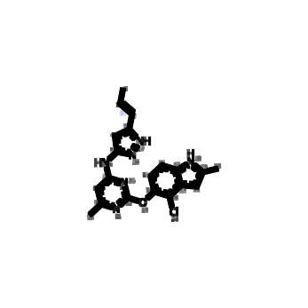 C/C=C/c1cc(Nc2cc(C)nc(Oc3ccc4[nH]c(C)cc4c3Cl)n2)n[nH]1